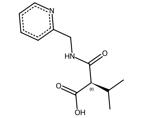 CC(C)[C@@H](C(=O)O)C(=O)NCc1ccccn1